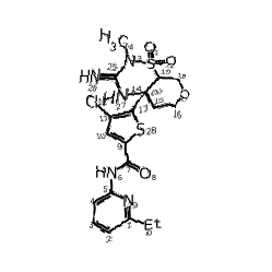 CCc1cccc(NC(=O)c2cc(Cl)c([C@]34CCOCC3S(=O)(=O)N(C)C(=N)N4)s2)n1